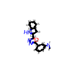 CN(C)c1cccc(-c2nnc(-c3cc4ccccc4[nH]3)o2)c1